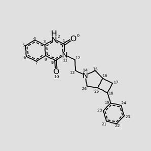 O=c1[nH]c2ccccc2c(=O)n1CCN1CC2CC(c3ccccc3)C2C1